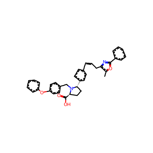 Cc1oc(-c2ccccc2)nc1C/C=C\c1ccc([C@@H]2CC[C@@H](C(=O)O)N2Cc2ccc(Oc3ccccc3)cc2)cc1